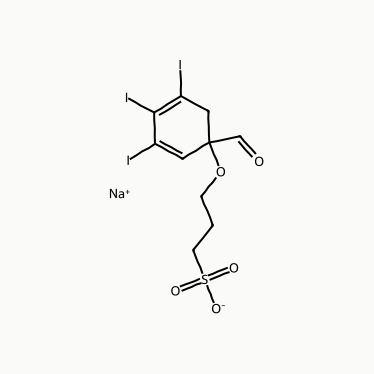 O=CC1(OCCCS(=O)(=O)[O-])C=C(I)C(I)=C(I)C1.[Na+]